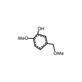 COCc1ccc(OC)c(O)c1